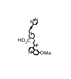 COc1ccc2nccc(C(F)CC[C@@H]3CCN(CC#Cc4ccncn4)C[C@@H]3C(=O)O)c2c1